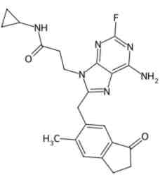 Cc1cc2c(cc1Cc1nc3c(N)nc(F)nc3n1CCC(=O)NC1CC1)C(=O)CC2